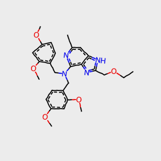 CCOCc1nc2c(N(Cc3ccc(OC)cc3OC)Cc3ccc(OC)cc3OC)nc(C)cc2[nH]1